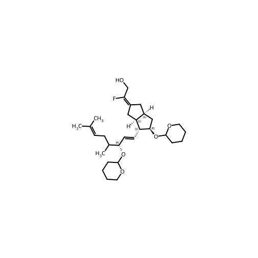 CC(C)=CCC(C)[C@H](C=C[C@@H]1[C@H]2CC(=C(F)CO)C[C@H]2C[C@H]1OC1CCCCO1)OC1CCCCO1